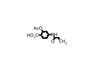 C=CC(=O)Nc1ccc(C(=O)O)c(OC(C)=O)c1